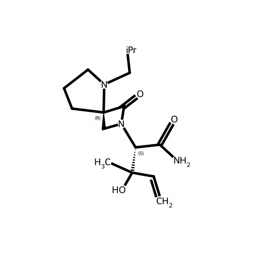 C=CC(C)(O)[C@@H](C(N)=O)N1C[C@]2(CCCN2CC(C)C)C1=O